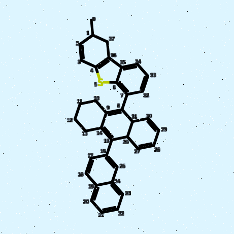 CC1C=Cc2sc3c(C4=C5CCCCC5=C(c5ccc6ccccc6c5)C5C=CC=CC45)cccc3c2C1